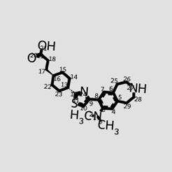 CN(C)c1cc2c(cc1-c1csc([C@H]3CC[C@H](CCC(=O)O)CC3)n1)CCNCC2